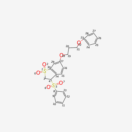 O=S1(=O)CC(S(=O)(=O)c2ccccc2)c2ccc(OCCCOc3ccccc3)cc21